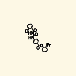 CC(C)C1CCCCC1OC(=O)c1ccc(NC(=O)NC(=O)c2ccccc2Cl)cc1